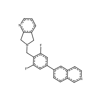 Fc1cc(-c2ccc3cnccc3c2)cc(F)c1CN1Cc2cccnc2C1